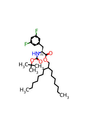 CCCCCCCC(CCCCCCC)COC(=O)[C@H](Cc1cc(F)cc(F)c1)NC(=O)OC(C)(C)C